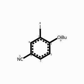 CC(C)COc1ccc(C#N)cc1I